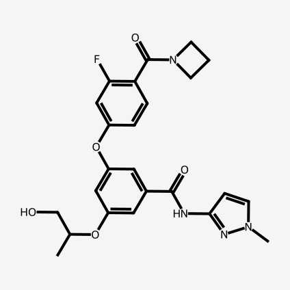 CC(CO)Oc1cc(Oc2ccc(C(=O)N3CCC3)c(F)c2)cc(C(=O)Nc2ccn(C)n2)c1